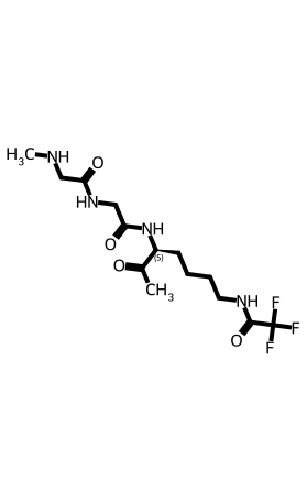 CNCC(=O)NCC(=O)N[C@@H](CCCCNC(=O)C(F)(F)F)C(C)=O